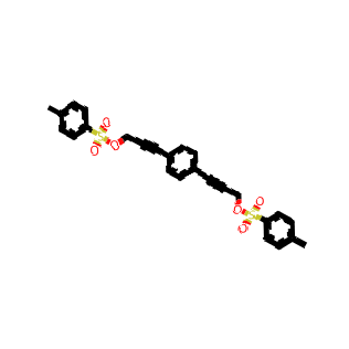 Cc1ccc(S(=O)(=O)OCC#Cc2ccc(C#CCOS(=O)(=O)c3ccc(C)cc3)cc2)cc1